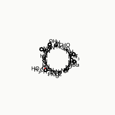 CCCC[C@H]1C(=O)N2CCC[C@@H]2C(=O)N[C@@H](CC(=O)O)C(=O)N[C@@H](C(C)C)C(=O)N(C)[C@@H](Cc2ccc(C)cc2)C(=O)N[C@@H](CCC(=O)O)C(=O)N2CCC[C@@H]2C(=O)N[C@@H](Cc2c[nH]c3ccccc23)C(=O)N[C@@H](Cc2ccc(O)cc2)C(=O)N[C@@H](CC(C)C)C(=O)N[C@H](C=O)CSCC(=O)N[C@@H](Cc2ccc(F)cc2)C(=O)N(C)[C@@H](Cc2ccccc2)C(=O)N1C